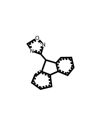 c1ccc2c(c1)-c1ccccc1C2c1ncon1